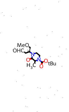 COC[C@H](CC=O)N1CCN(C(=O)OC(C)(C)C)C(C)C1=O